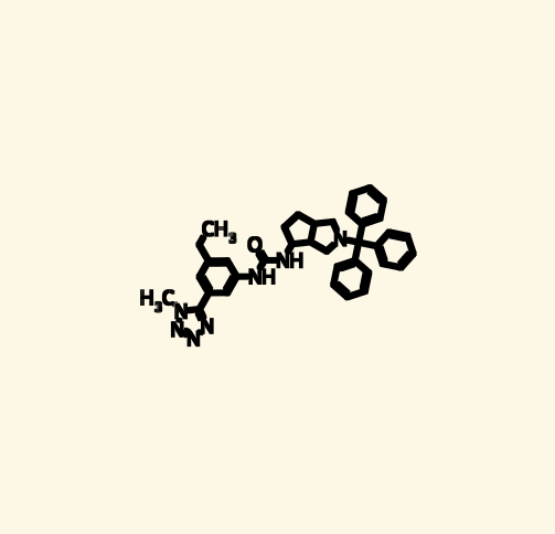 CCc1cc(NC(=O)NC2CCC3CN(C(c4ccccc4)(c4ccccc4)c4ccccc4)CC32)cc(-c2nnnn2C)c1